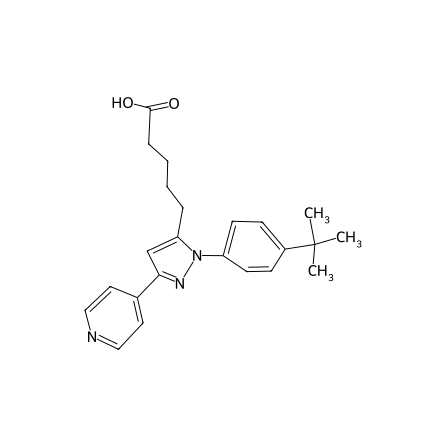 CC(C)(C)c1ccc(-n2nc(-c3ccncc3)cc2CCCCC(=O)O)cc1